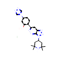 CC1(C)CC(n2nnc3cc(-c4ccc(-n5cnnc5)cc4O)nnc32)CC(C)(C)N1.Cl